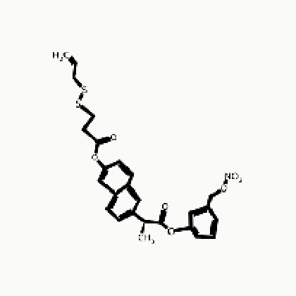 C=CCSSCCC(=O)Oc1ccc2cc([C@H](C)C(=O)Oc3cccc(CO[N+](=O)[O-])c3)ccc2c1